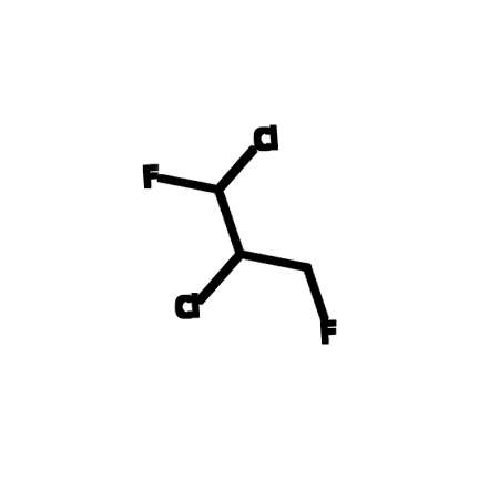 FCC(Cl)C(F)Cl